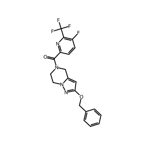 O=C(c1ccc(F)c(C(F)(F)F)n1)N1CCn2nc(OCc3ccccc3)cc2C1